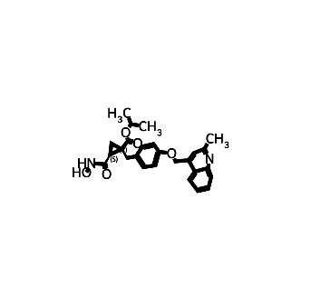 Cc1cc(COc2ccc(C[C@]3(C(=O)OC(C)C)C[C@@H]3C(=O)NO)cc2)c2ccccc2n1